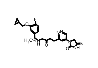 C[C@@H](NCC(=O)CCc1cc(N2CC(=S)NC2=O)cnn1)c1ccc(F)c(OCC2CC2)c1